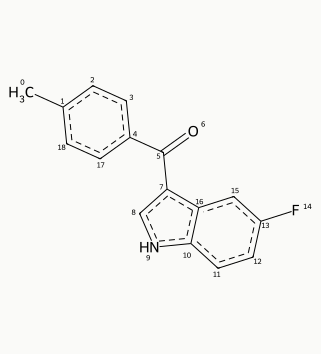 Cc1ccc(C(=O)c2c[nH]c3ccc(F)cc23)cc1